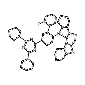 Fc1ccccc1-c1cc(-c2nc(-c3ccccc3)nc(-c3ccccc3)n2)ccc1-n1c2ccccc2c2ccc3sc4ccccc4c3c21